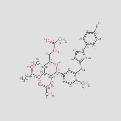 CC(=O)OC[C@H]1O[C@@H](c2ccc(C)c(Cc3ccc(-c4ccc(F)cc4)s3)c2)[C@H](OC(C)=O)[C@@H](OC(C)=O)[C@@H]1C